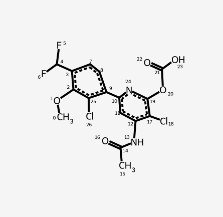 COc1c(C(F)F)ccc(-c2cc(NC(C)=O)c(Cl)c(OC(=O)O)n2)c1Cl